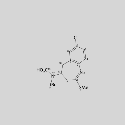 CSC1=Nc2ccc(Cl)cc2CC(N(C(=O)O)C(C)(C)C)C1